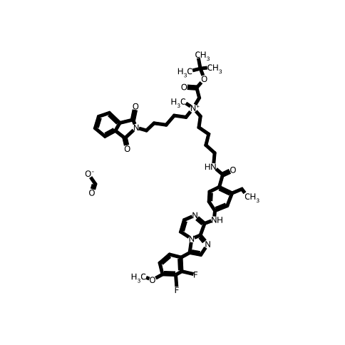 CCc1cc(Nc2nccn3c(-c4ccc(OC)c(F)c4F)cnc23)ccc1C(=O)NCCCCC[N+](C)(CCCCCN1C(=O)c2ccccc2C1=O)CC(=O)OC(C)(C)C.O=C[O-]